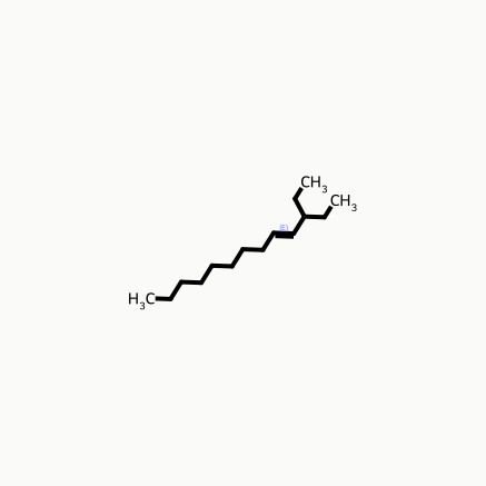 CCCCCCCC/C=C/C(CC)CC